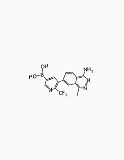 Cc1nnc(N)c2ccc(-c3cc(B(O)O)cnc3C(F)(F)F)cc12